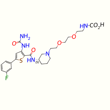 NC(=O)Nc1cc(-c2cccc(F)c2)sc1C(=O)N[C@H]1CCCN(CCOCCOCCNC(=O)O)C1